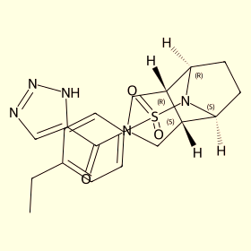 CCc1ccc(S(=O)(=O)N2[C@@H]3CC[C@H]2[C@@H]2CN(C(=O)c4cnn[nH]4)C[C@@H]23)cc1